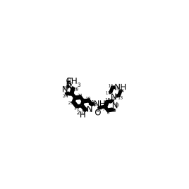 [2H]c1nc(NC(=O)c2ccnc(N3CCNCC3)c2)cc2cc(-c3cnn(C)c3)ccc12